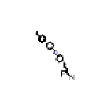 CCc1ccc([C@H]2CC[C@H](/C=C/[C@H]3CC[C@H](C=CC=C(F)C#N)CC3)CC2)cc1